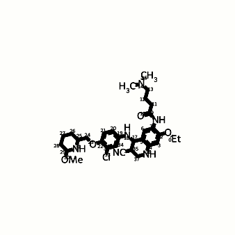 CCOc1cc2c(cc1NC(=O)CCCN(C)C)C(Nc1ccc(OCC3CCCC(OC)N3)c(Cl)c1)C(C#N)CN2